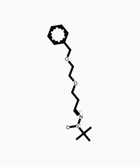 CC(C)(C)[S+]([O-])/N=C/CCOCCOCc1ccccc1